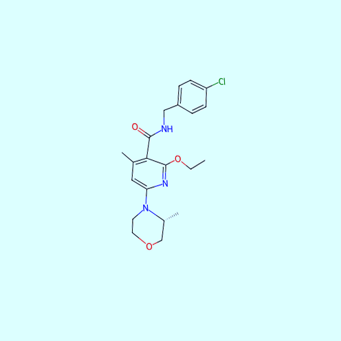 CCOc1nc(N2CCOC[C@H]2C)cc(C)c1C(=O)NCc1ccc(Cl)cc1